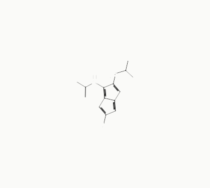 CC(C)[SiH2]C1=CC2=C[C]([Zr])=CC2=C1[SiH2]C(C)C